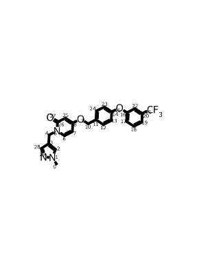 Cn1cc(Cn2ccc(OCc3ccc(Oc4cccc(C(F)(F)F)c4)cc3)cc2=O)cn1